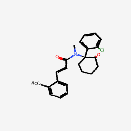 CC(=O)Oc1ccccc1/C=C/C(=O)N(C)[C@]1(c2ccccc2Cl)CCCCC1=O